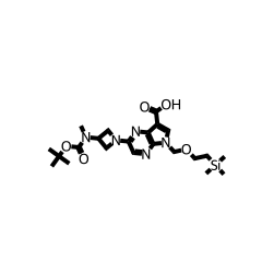 CN(C(=O)OC(C)(C)C)C1CN(c2cnc3c(n2)c(C(=O)O)cn3COCC[Si](C)(C)C)C1